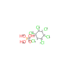 Cl[C@H]1[C@H](Cl)[C@@H](Cl)[C@@H](Cl)[C@H](Cl)[C@H]1Cl.O=P(O)(O)O